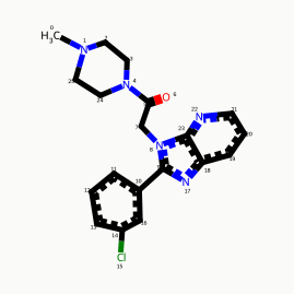 CN1CCN(C(=O)Cn2c(-c3cccc(Cl)c3)nc3cccnc32)CC1